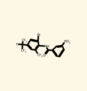 O=C(Nc1c(Br)cc(C(F)(C(F)(F)F)C(F)(F)F)cc1C(F)(F)F)c1cccc([N+](=O)[O-])c1